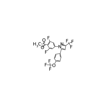 CS(=O)(=O)c1c(F)cc(-n2nc(C(F)(F)F)cc2-c2ccc(OC(F)(F)F)cc2)cc1F